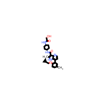 Cc1ccc(OCC2CC2)c(-c2ccnc3c(C(=O)N[C@H]4CC[C@H](NC(=O)CO)CC4)c(C)[nH]c23)c1